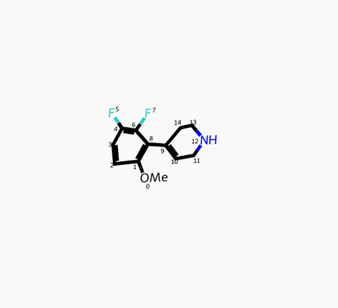 COc1ccc(F)c(F)c1C1=CCNCC1